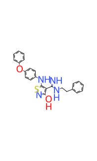 N=C(NCCc1ccccc1)c1c(O)nsc1Nc1ccc(Oc2ccccc2)cc1